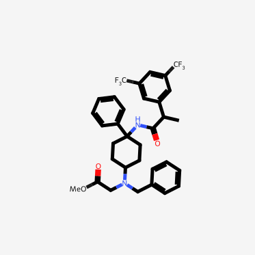 COC(=O)CN(Cc1ccccc1)C1CCC(NC(=O)C(C)c2cc(C(F)(F)F)cc(C(F)(F)F)c2)(c2ccccc2)CC1